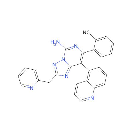 N#Cc1ccccc1-c1nc(N)n2nc(Cc3ccccn3)nc2c1-c1cccc2ncccc12